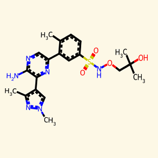 Cc1ccc(S(=O)(=O)NOCC(C)(C)O)cc1-c1cnc(N)c(-c2cn(C)nc2C)n1